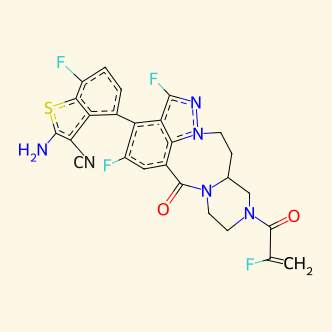 C=C(F)C(=O)N1CCN2C(=O)c3cc(F)c(-c4ccc(F)c5sc(N)c(C#N)c45)c4c(F)nn(c34)CCC2C1